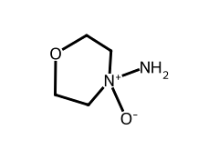 N[N+]1([O-])CCOCC1